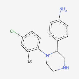 CCc1cc(Cl)ccc1N1CCNCC1c1ccc(N)cc1